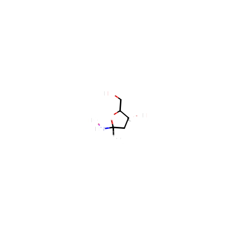 O=C(O)C1(NO)C[C@@H](O)C(CO)O1